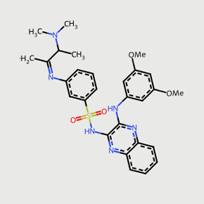 [CH2]C(=Nc1cccc(S(=O)(=O)Nc2nc3ccccc3nc2Nc2cc(OC)cc(OC)c2)c1)C(C)N(C)C